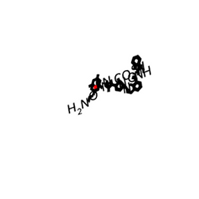 Cc1c(-c2ccc(N3CCc4cccc(C(=O)Nc5nc6ccccc6s5)c4C3)nc2C(=O)O)cnn1CC12CC3(C)CC(C)(C1)CC(OCCN)(C3)C2